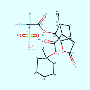 CCC1(OC(=O)C2C3C(=O)OC4C3C[C@@H]2C4OC(=O)C(F)(F)S(=O)(=O)O)CCCCC1